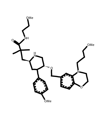 COCCCN1CCOc2ccc(CO[C@H]3CN[C@H](CC(C)(C)C(=O)NCCOC)CC3c3ccc(OC)cc3)cc21